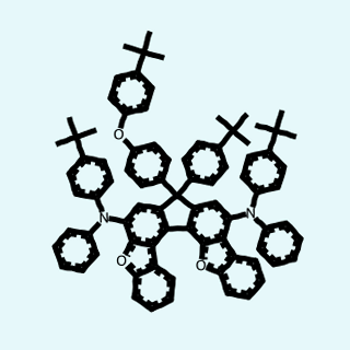 CC(C)(C)c1ccc(Oc2ccc(C3(c4ccc(C(C)(C)C)cc4)c4cc(N(c5ccccc5)c5ccc(C(C)(C)C)cc5)c5c(oc6ccccc65)c4-c4c3cc(N(c3ccccc3)c3ccc(C(C)(C)C)cc3)c3oc5ccccc5c43)cc2)cc1